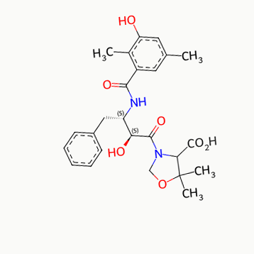 Cc1cc(O)c(C)c(C(=O)N[C@@H](Cc2ccccc2)[C@H](O)C(=O)N2COC(C)(C)C2C(=O)O)c1